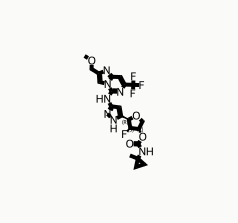 COCc1cn2c(Nc3cc([C@H]4OC[C@@H](OC(=O)NC5(C)CC5)[C@H]4F)[nH]n3)nc(C(F)(F)F)cc2n1